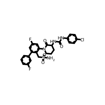 NS(=O)(=O)Cc1c(-c2cccc(F)c2)cc(F)cc1N1CCCC(NC(=O)Nc2ccc(Cl)cc2)C1=O